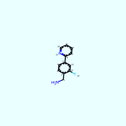 NCc1ccc(-c2ccccn2)cc1F